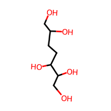 OCC(O)CCC(O)C(O)CO